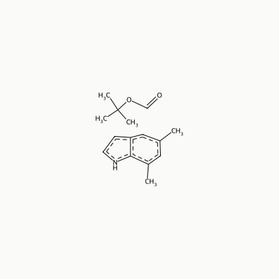 CC(C)(C)OC=O.Cc1cc(C)c2[nH]ccc2c1